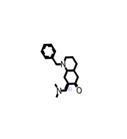 CN(C)/C=C1\CC2C(CCCN2Cc2ccccc2)CC1=O